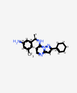 C[C@@H](Nc1ccnc2cc(C3=CCCCC3)nn12)c1cc(N)cc(C(F)(F)F)c1